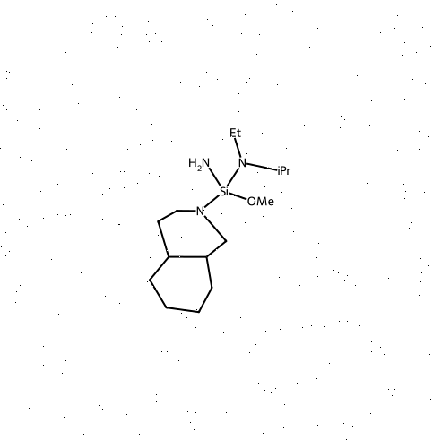 CCN(C(C)C)[Si](N)(OC)N1CCC2CCCCC2C1